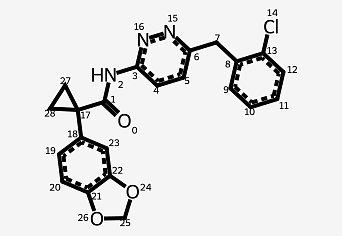 O=C(Nc1ccc(Cc2ccccc2Cl)nn1)C1(c2ccc3c(c2)OCO3)CC1